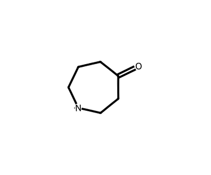 O=C1CCC[N]CC1